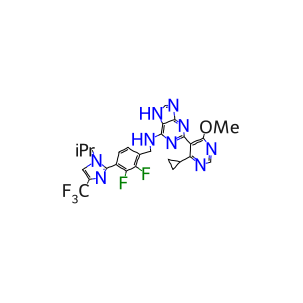 COc1ncnc(C2CC2)c1-c1nc(NCc2ccc(-c3nc(C(F)(F)F)cn3C(C)C)c(F)c2F)c2[nH]cnc2n1